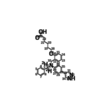 [2H]C([2H])(c1ccccc1)N(Cc1ccccc1OCCCCCC(=O)O)c1ccc(-c2cn[nH]c2)cc1